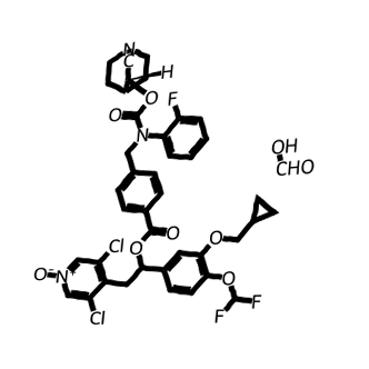 O=C(OC(Cc1c(Cl)c[n+]([O-])cc1Cl)c1ccc(OC(F)F)c(OCC2CC2)c1)c1ccc(CN(C(=O)O[C@H]2CN3CCC2CC3)c2ccccc2F)cc1.O=CO